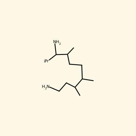 CC(C)C(N)C(C)CCC(C)C(C)CCN